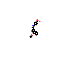 CC(C)COCc1ccc(-c2cnc(-c3ccc(C(=O)O)cc3)s2)cc1C1(C)CCCCC1